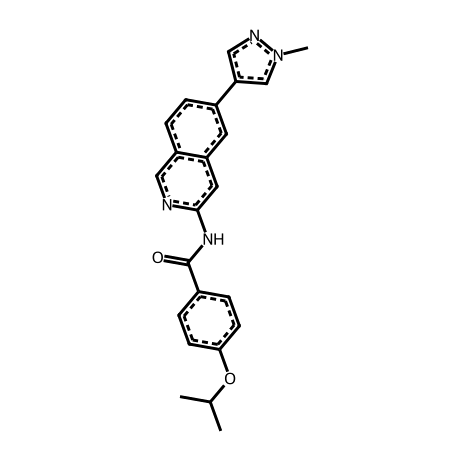 CC(C)Oc1ccc(C(=O)Nc2cc3cc(-c4cnn(C)c4)ccc3cn2)cc1